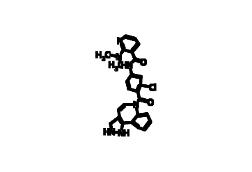 CN(C)c1ncccc1C(=O)Nc1ccc(C(=O)N2C=CC3=C(NNC3)c3ccccc32)c(Cl)c1